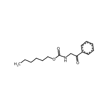 CCCCCCOC(=O)NCC(=O)c1ccccc1